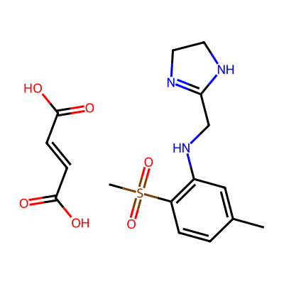 Cc1ccc(S(C)(=O)=O)c(NCC2=NCCN2)c1.O=C(O)C=CC(=O)O